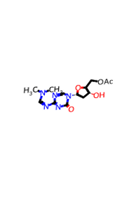 CC(=O)OCC1O[C@@H](n2cnc(/N=C\N(C)C)nc2=O)C[C@H]1O